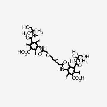 CC(C)(CO)NC(=O)c1c(I)c(NC(=O)COCCOCC(=O)Nc2c(I)c(C(=O)O)c(I)c(C(=O)NC(C)(C)CO)c2I)c(I)c(C(=O)O)c1I